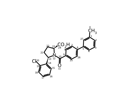 Cc1cccc(-c2ccc(C(=O)N3[C@@H](c4ccccc4Cl)CC[C@H]3C(=O)O)cc2)c1